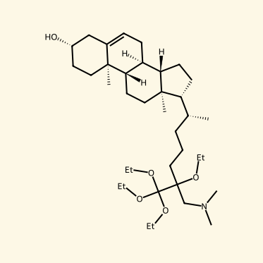 CCOC(CCC[C@@H](C)[C@H]1CC[C@H]2[C@@H]3CC=C4C[C@@H](O)CC[C@]4(C)[C@H]3CC[C@]12C)(CN(C)C)C(OCC)(OCC)OCC